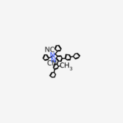 CC1C=C(C2C=CCCC2)C=CC1c1cc(-c2ccc(C3C=CC=CC3)cc2)cc2c(-c3ccccc3C#N)nc(-c3ccccc3C#N)nc12